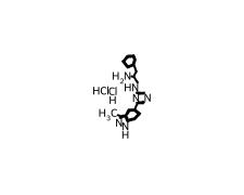 Cc1n[nH]c2ccc(-c3cncc(NCC(N)Cc4ccccc4)n3)cc12.Cl.Cl